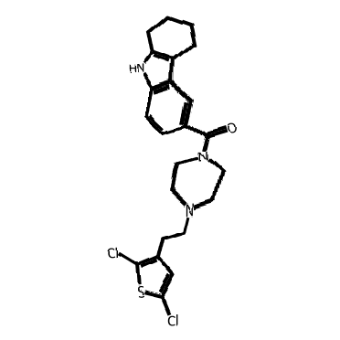 O=C(c1ccc2[nH]c3c(c2c1)CCCC3)N1CCN(CCc2cc(Cl)sc2Cl)CC1